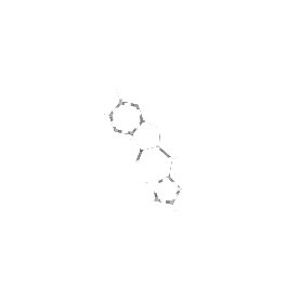 O=C1C(=Cc2cccs2)Oc2cc(O)ccc21